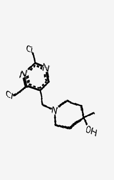 CC1(O)CCN(Cc2cnc(Cl)nc2Cl)CC1